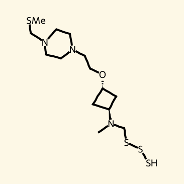 CSCN1CCN(CCO[C@H]2C[C@H](N(C)CSSS)C2)CC1